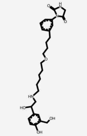 O=C1CNC(=O)N1c1cccc(CCCCOCCCCCCNCC(O)c2ccc(O)c(CO)c2)c1